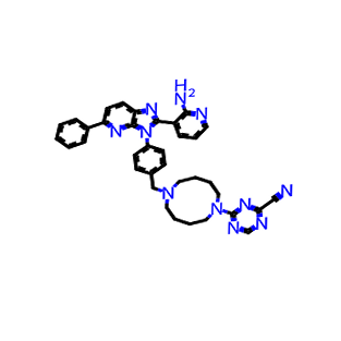 N#Cc1ncnc(N2CCCCN(Cc3ccc(-n4c(-c5cccnc5N)nc5ccc(-c6ccccc6)nc54)cc3)CCCC2)n1